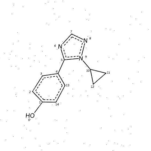 Oc1ccc(-c2ncnn2C2CC2)cc1